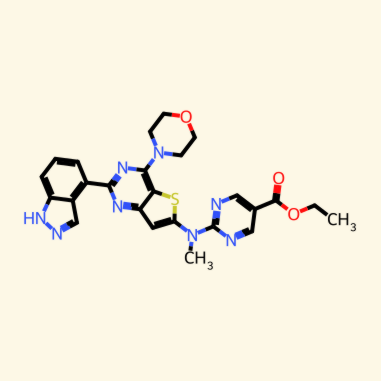 CCOC(=O)c1cnc(N(C)c2cc3nc(-c4cccc5[nH]ncc45)nc(N4CCOCC4)c3s2)nc1